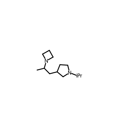 CC(C)N1CCC(CC(C)N2CCC2)C1